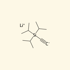 [C-]#C[Si](C(C)C)(C(C)C)C(C)C.[Li+]